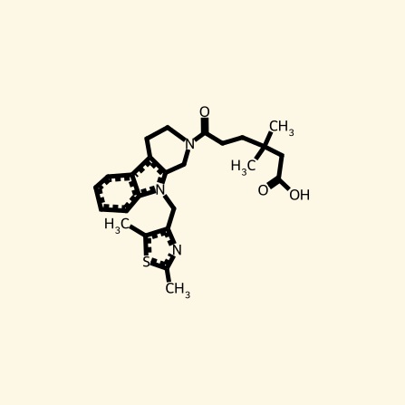 Cc1nc(Cn2c3c(c4ccccc42)CCN(C(=O)CCC(C)(C)CC(=O)O)C3)c(C)s1